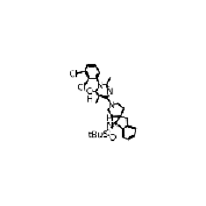 CC1=NC(N2CCC3(CC2)Cc2ccccc2[C@H]3N[S+]([O-])C(C)(C)C)=C(C)C(O)N1c1cccc(Cl)c1Cl